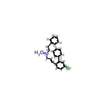 CN(CC=Cc1ccc(Br)cc1-c1ccccc1)CCc1ccccc1